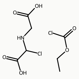 CCOC(=O)Cl.O=C(O)CNC(Cl)C(=O)O